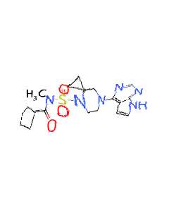 CN(C(=O)C1CCCC1)S(=O)(=O)N1CCN(c2ncnc3[nH]ccc23)CC12CC2